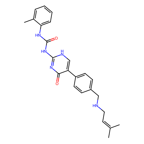 CC(C)=CCNCc1ccc(-c2c[nH]c(NC(=O)Nc3ccccc3C)nc2=O)cc1